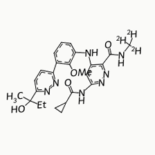 [2H]C([2H])([2H])NC(=O)c1nnc(NC(=O)C2CC2)cc1Nc1cccc(-c2ccc(C(C)(O)CC)nn2)c1OC